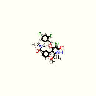 COc1ccc(C(=O)N(C)C)cc1-c1c(C)[nH]c(=O)c(Br)c1OCc1ccc(F)cc1F